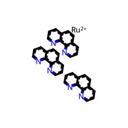 [Ru+2].c1cnc2c(c1)ccc1cccnc12.c1cnc2c(c1)ccc1cccnc12.c1cnc2c(c1)ccc1cccnc12